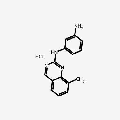 Cc1cccc2cnc(Nc3cccc(N)c3)nc12.Cl